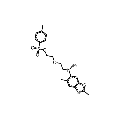 Cc1ccc(S(=O)(=O)OCCOCCN(c2cc3sc(C)nc3cc2C)C(C)C)cc1